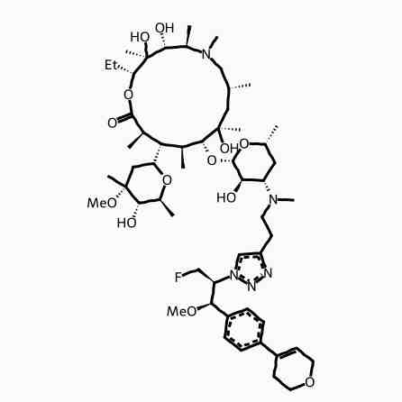 CC[C@H]1OC(=O)[C@H](C)[C@@H](C2C[C@@](C)(OC)[C@@H](O)[C@H](C)O2)[C@H](C)[C@@H](O[C@@H]2O[C@H](C)C[C@H](N(C)CCc3cn([C@H](CF)[C@H](OC)c4ccc(C5=CCOCC5)cc4)nn3)[C@H]2O)[C@](C)(O)C[C@@H](C)CN(C)[C@H](C)[C@@H](O)[C@]1(C)O